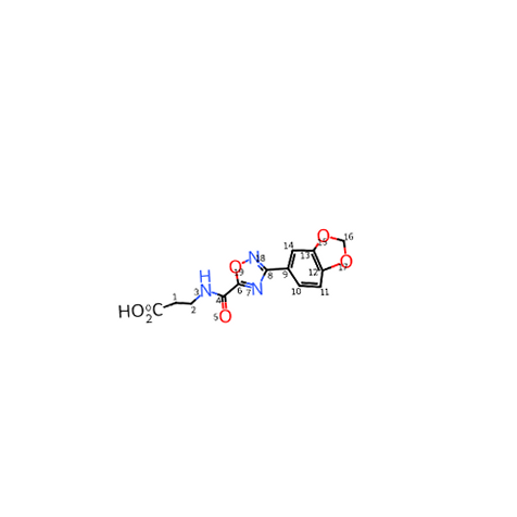 O=C(O)CCNC(=O)c1nc(-c2ccc3c(c2)OCO3)no1